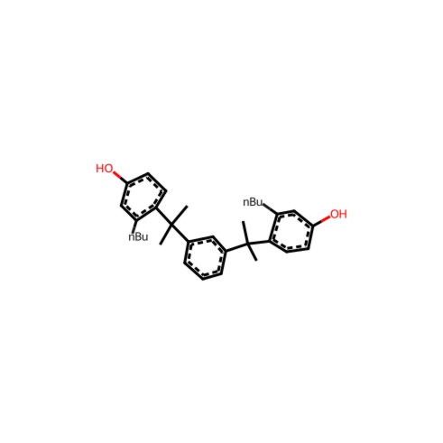 CCCCc1cc(O)ccc1C(C)(C)c1cccc(C(C)(C)c2ccc(O)cc2CCCC)c1